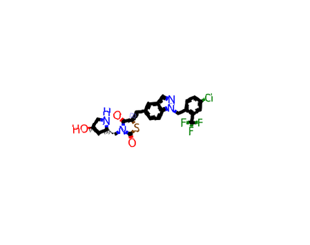 O=C1S/C(=C\c2ccc3c(cnn3Cc3ccc(Cl)cc3C(F)(F)F)c2)C(=O)N1C[C@@H]1C[C@@H](O)CN1